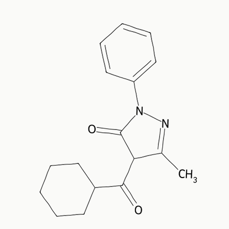 CC1=NN(c2ccccc2)C(=O)C1C(=O)C1CCCCC1